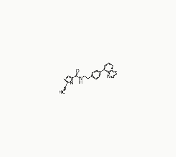 C#Cc1nc(C(=O)NCCc2ccc(-c3cccc4scnc34)cc2)cs1